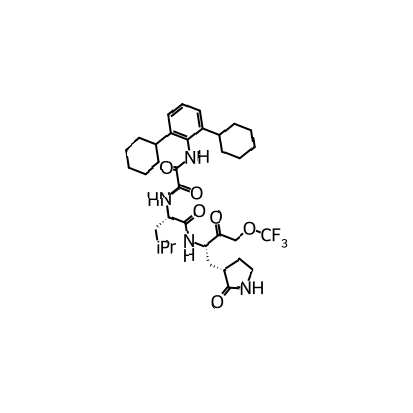 CC(C)C[C@H](NC(=O)C(=O)Nc1c(C2CCCCC2)cccc1C1CCCCC1)C(=O)N[C@@H](C[C@@H]1CCNC1=O)C(=O)COC(F)(F)F